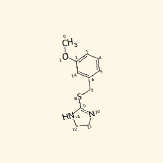 COc1cccc(CSC2=NCCN2)c1